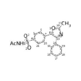 CC(=O)NS(=O)(=O)c1ccc(-c2oc(C)nc2-c2ccccc2)cc1